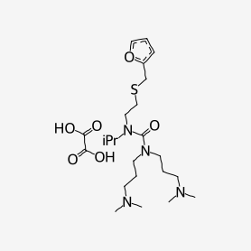 CC(C)N(CCSCc1ccco1)C(=O)N(CCCN(C)C)CCCN(C)C.O=C(O)C(=O)O